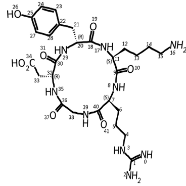 N=C(N)NCCC[C@@H]1NC(=O)[C@H](CCCCN)NC(=O)[C@@H](Cc2ccc(O)cc2)NC(=O)[C@@H](CC(=O)O)NC(=O)CNC1=O